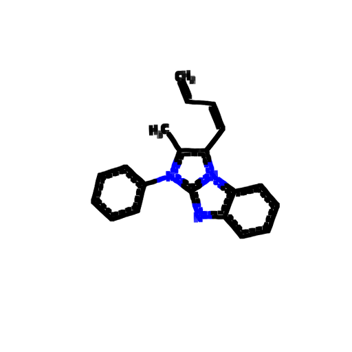 C=C/C=C\c1c(C)n(-c2ccccc2)c2nc3ccccc3n12